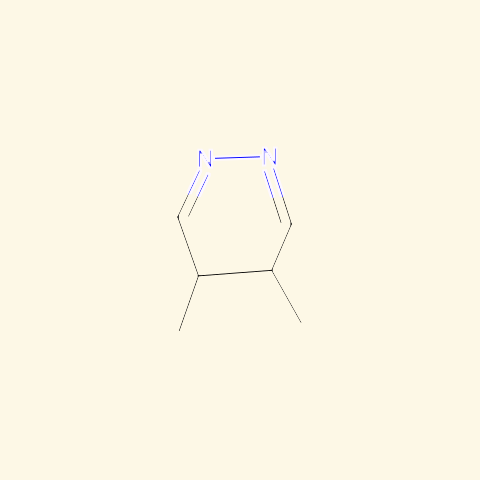 CC1C=NN=CC1C